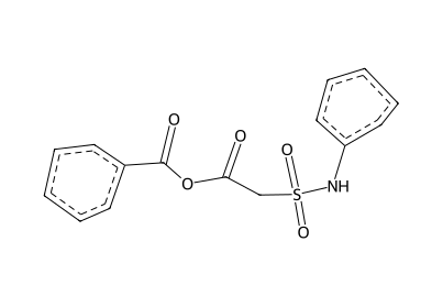 O=C(CS(=O)(=O)Nc1ccccc1)OC(=O)c1ccccc1